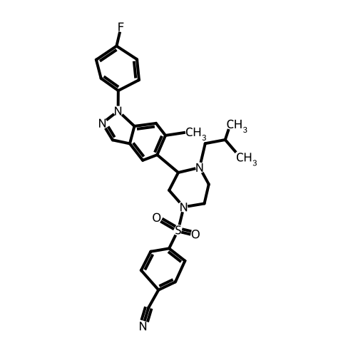 Cc1cc2c(cnn2-c2ccc(F)cc2)cc1C1CN(S(=O)(=O)c2ccc(C#N)cc2)CCN1CC(C)C